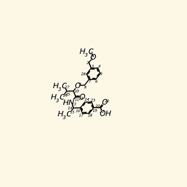 COCc1cccc(COC(C(=O)NC(C)c2ccc(C(=O)O)cc2)C(C)C)c1